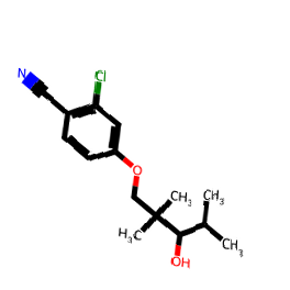 CC(C)C(O)C(C)(C)COc1ccc(C#N)c(Cl)c1